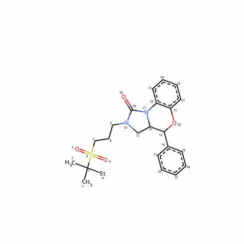 CCC(C)(C)S(=O)(=O)CCCN1CC2C(c3ccccc3)Oc3ccccc3N2C1=O